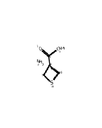 N.O=C(O)C1CSC1